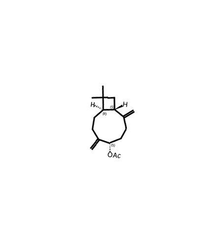 C=C1CC[C@@H]2[C@H](CC2(C)C)C(=C)CC[C@@H]1OC(C)=O